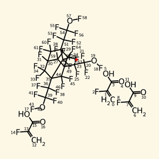 C=C(F)C(=O)O.C=C(F)C(=O)O.C=C(F)C(=O)O.FOC(F)(F)C(F)(F)C12C(F)(F)C3(F)C(F)(F)C(C(F)(F)C(F)(F)OF)(C1(F)F)C(F)(F)C(C(F)(F)C(F)(F)OF)(C3(F)F)C2(F)F